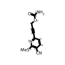 CSc1nc(C#CCOC(N)=O)ccc1C#N